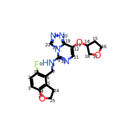 Fc1ccc2c(c1CNc1ncc(OC3CCOC3)c3nncn13)CCO2